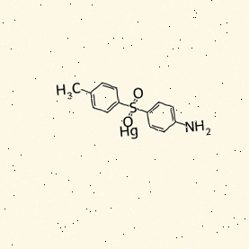 Cc1ccc(S(=O)(=O)c2ccc(N)cc2)cc1.[Hg]